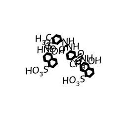 Cc1ccc(NC(=O)Nc2ccc(C)c(S(=O)(=O)Nc3ccc4c(S(=O)(=O)O)cccc4c3O)c2)cc1S(=O)(=O)Nc1ccc2c(S(=O)(=O)O)cccc2c1O